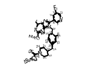 COc1nc(C)c2nc(-c3cncc(F)c3)n(Cc3ccc(CC4CCN(C(=O)OC(C)(C)C)CC4)cc3F)c2n1